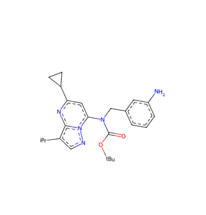 CC(C)c1cnn2c(N(Cc3cccc(N)c3)C(=O)OC(C)(C)C)cc(C3CC3)nc12